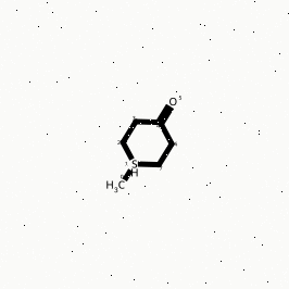 C[SH]1CCC(=O)CC1